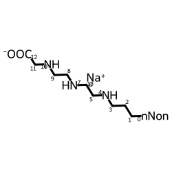 CCCCCCCCCCCCNCCNCCNCC(=O)[O-].[Na+]